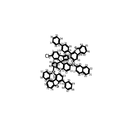 Clc1ccc2c(c1)C1(C3=C(Sc4ccc(N(c5ccc6ccccc6c5)c5cc(-c6ccc(-c7ccccc7)cc6)c6sc7ccccc7c6c5)cc41)C(N(c1ccccc1)c1ccc(-c4ccccc4)c4sc5ccccc5c14)CC=C3)c1ccccc1-2